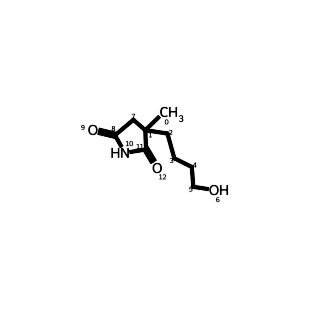 CC1(CCCCO)CC(=O)NC1=O